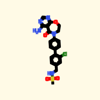 CS(=O)(=O)NCc1ccc(-c2ccc(N3CCOc4ncnc(N)c4C3=O)cc2)c(Cl)c1